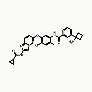 NC1(c2cccc(C(=O)Nc3cc(Oc4ccc5nc(NC(=O)C6CC6)cn5n4)c(Cl)cc3F)c2)CCC1